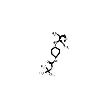 Cn1ncc(N)c1N[C@H]1CC[C@@H](NC(=O)OC(C)(C)C)CC1